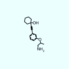 CC(CN)Oc1cccc(C#CC2(O)CCCCC2)c1